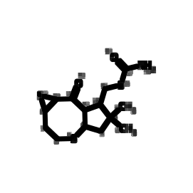 CC1(C)CC2SCCC3SC3C(=O)C2C1CSC(N)=O